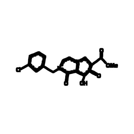 COC(=O)c1cn2ccn(Cc3cccc(Cl)c3)c(=O)c2c(O)c1=O